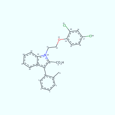 Cc1ccccc1-c1c(C(=O)O)n(CCOc2ccc(Cl)cc2Cl)c2ccccc12